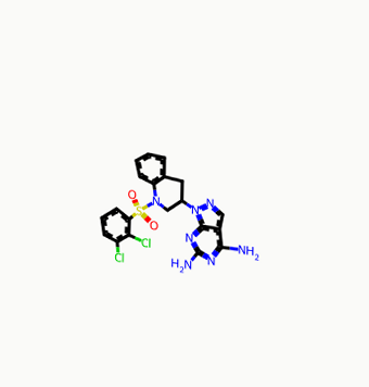 Nc1nc(N)c2cnn(C3Cc4ccccc4N(S(=O)(=O)c4cccc(Cl)c4Cl)C3)c2n1